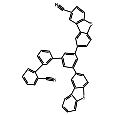 N#Cc1ccc2sc3ccc(-c4cc(-c5cccc(-c6ccccc6C#N)c5)cc(-c5ccc6sc7ccccc7c6c5)c4)cc3c2c1